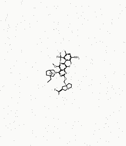 CCC12CCC(CN(c3nc(OC[C@@]45CCCN4CC(=C(F)F)C5)nc4c(F)c(-c5c(F)c(N)cc(C)c5C(F)(F)F)nc(OC)c34)C1)N2